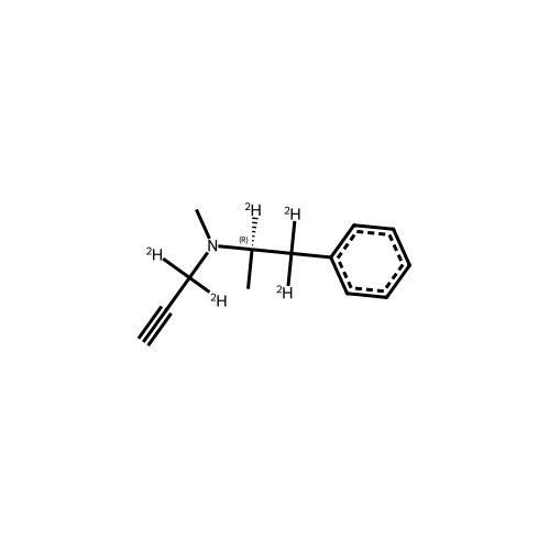 [2H]C([2H])(C#C)N(C)[C@]([2H])(C)C([2H])([2H])c1ccccc1